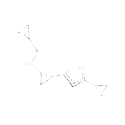 Cc1sc(C2CC2NCC2CC2)cc1C1CC1